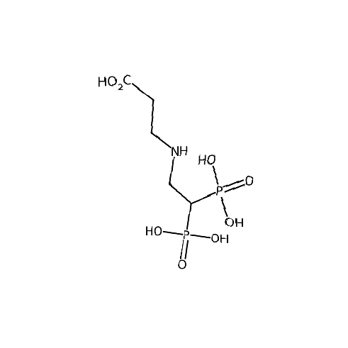 O=C(O)CCNCC(P(=O)(O)O)P(=O)(O)O